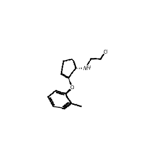 Cc1ccccc1O[C@H]1CCC[C@@H]1NCCCl